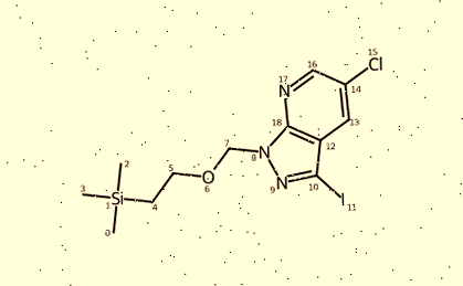 C[Si](C)(C)CCOCn1nc(I)c2cc(Cl)cnc21